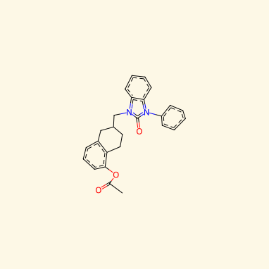 CC(=O)Oc1cccc2c1CCC(Cn1c(=O)n(-c3ccccc3)c3ccccc31)C2